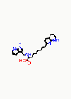 O=C(O)[C@H](CCCCCCCc1ccc2c(n1)NCCC2)NCc1c[nH]c2ncccc12